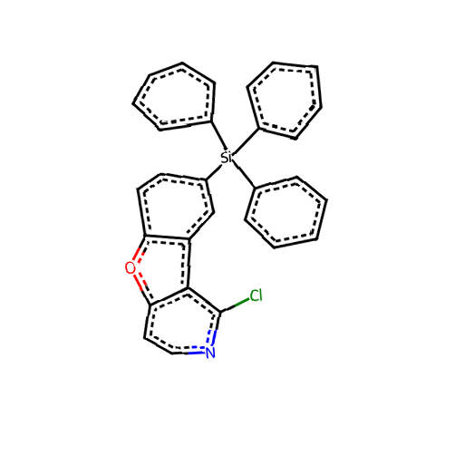 Clc1nccc2oc3ccc([Si](c4ccccc4)(c4ccccc4)c4ccccc4)cc3c12